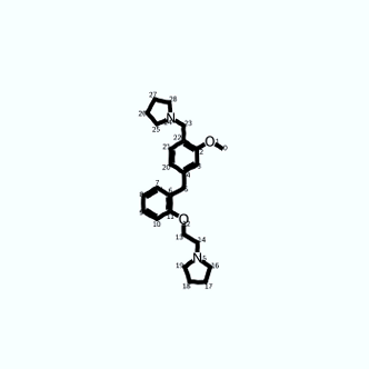 COc1cc(Cc2[c]cccc2OCCN2CCCC2)ccc1CN1CCCC1